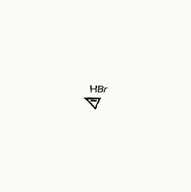 Br.C1=CC1